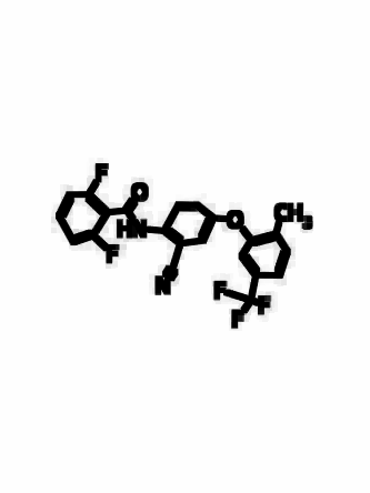 Cc1ccc(C(F)(F)F)cc1Oc1ccc(NC(=O)c2c(F)cccc2F)c(C#N)c1